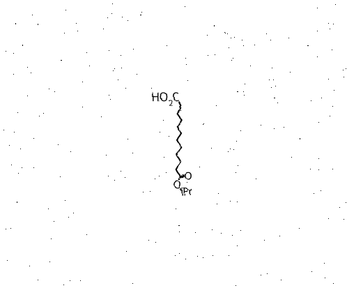 CC(C)OC(=O)CCCCCCCCCCC(=O)O